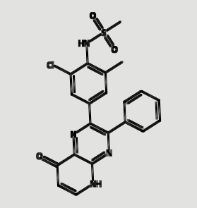 Cc1cc(-c2nc3c(=O)cc[nH]c3nc2-c2ccccc2)cc(Cl)c1NS(C)(=O)=O